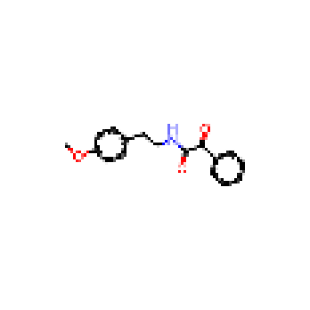 COc1ccc(CCNC(=O)C(=O)c2ccccc2)cc1